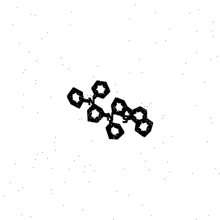 c1ccc(N(c2ccccc2)c2cccc(N(c3ccccc3)c3cccc4c3sc3c5ccccc5ccc43)c2)cc1